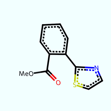 COC(=O)c1ccccc1-c1nccs1